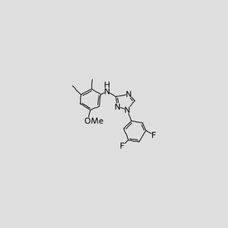 COc1cc(C)c(C)c(Nc2ncn(-c3cc(F)cc(F)c3)n2)c1